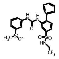 C[S+]([O-])c1cccc(NC(=O)Nc2cc(S(=O)(=O)NCC(F)(F)F)ccc2-c2ccccc2)c1